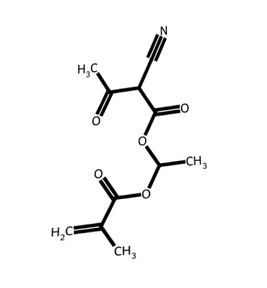 C=C(C)C(=O)OC(C)OC(=O)C(C#N)C(C)=O